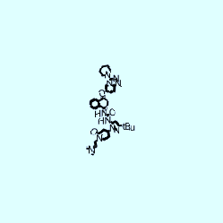 CN(C)CCn1ccc(-n2nc(C(C)(C)C)cc2NC(=O)N[C@H]2CC[C@@H](Oc3ccc4nnc(N5CCCCC5)n4c3)c3ccccc32)cc1=O